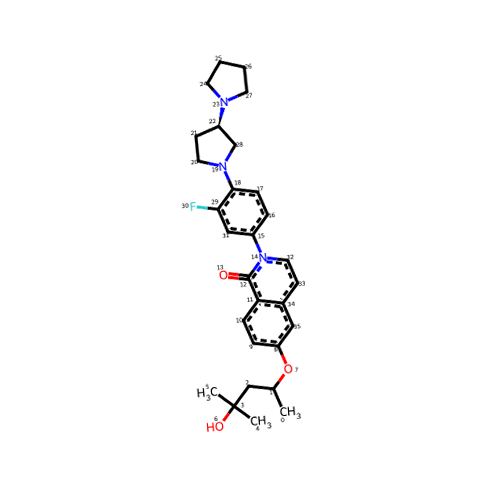 CC(CC(C)(C)O)Oc1ccc2c(=O)n(-c3ccc(N4CC[C@@H](N5CCCC5)C4)c(F)c3)ccc2c1